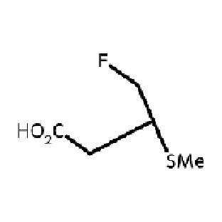 CSC(CF)CC(=O)O